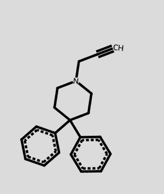 C#CCN1CCC(c2ccccc2)(c2ccccc2)CC1